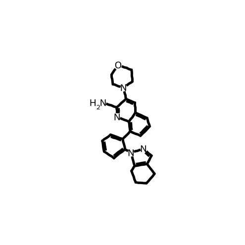 Nc1nc2c(-c3ccccc3-n3ncc4c3CCCC4)cccc2cc1N1CCOCC1